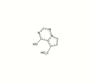 O=C(O)c1ccn2ncnc(O)c12